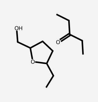 CCC(=O)CC.CCC1CCC(CO)O1